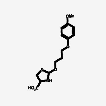 COc1ccc(OCCCOC2NC(C(=O)O)CS2)cc1